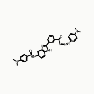 CN(C)c1ccc(N=[N+]=NC(=O)c2cccc(-c3nc4cc(NC(=O)c5ccc(N(C)C)cc5)ccc4[nH]3)c2)cc1